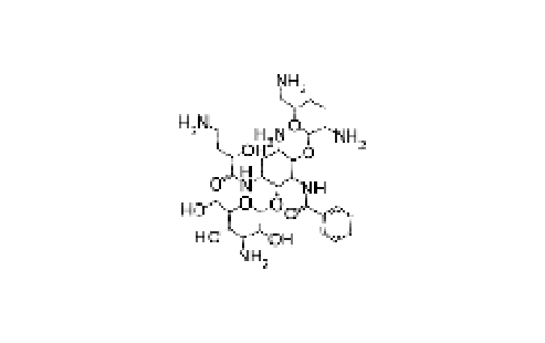 NCC[C@H](O)C(=O)N[C@@H]1C[C@H](N)C(O[C@H]2OC(CN)CCC2N)C(NC(=O)c2ccccc2)[C@H]1O[C@H]1OC(CO)[C@@H](O)[C@H](N)C1O